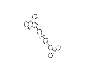 CC12C=C(c3ccc(S(=O)(=O)c4ccc(-c5cc6c7c(n8c9ccccc9c(c5)c68)C=CCC7)cc4)cc3)C=C3c4ccccc4N(c4ccccc41)C32